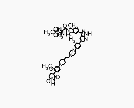 COc1cc(N2CCC(CCN3CCN(c4ccc(-c5cnc6[nH]nc(-c7ccc([C@@H](C)NC(=O)c8noc(C(C)(C)C)n8)c(C)c7)c6c5)cc4)CC3)CC2)ccc1C1CCC(=O)NC1=O